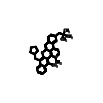 Cc1c2c(c(CC3CCCC3)c3ccccc13)Oc1cc3ccc(CC(C)(C)C)cc3c3cc[n+](C)c-2c13